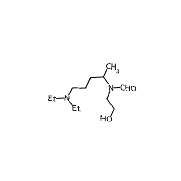 CCN(CC)CCCC(C)N(C=O)CCO